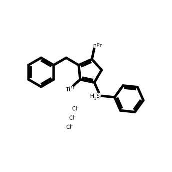 CCCC1=C(Cc2ccccc2)[C]([Ti+3])=C([SiH2]c2ccccc2)C1.[Cl-].[Cl-].[Cl-]